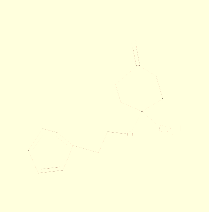 O=C1CCC(OCCc2ccccc2)(C(=O)O)CC1